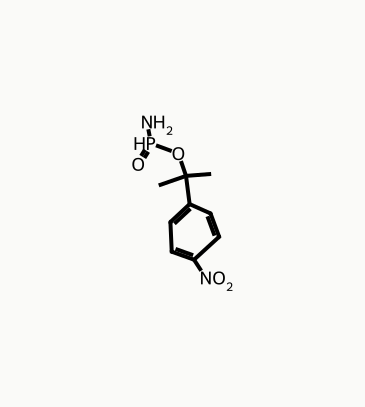 CC(C)(O[PH](N)=O)c1ccc([N+](=O)[O-])cc1